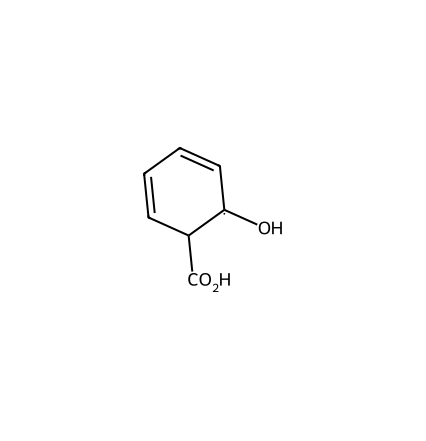 O=C(O)C1C=CC=C[C]1O